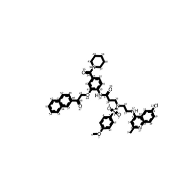 COc1ccc(S(=O)(=O)N(CCNc2cc(C)nc3ccc(Cl)cc23)CCC(=O)Nc2ccc(C(=O)N3CCCCC3)cc2OCC(=O)c2ccc3ccccc3c2)cc1